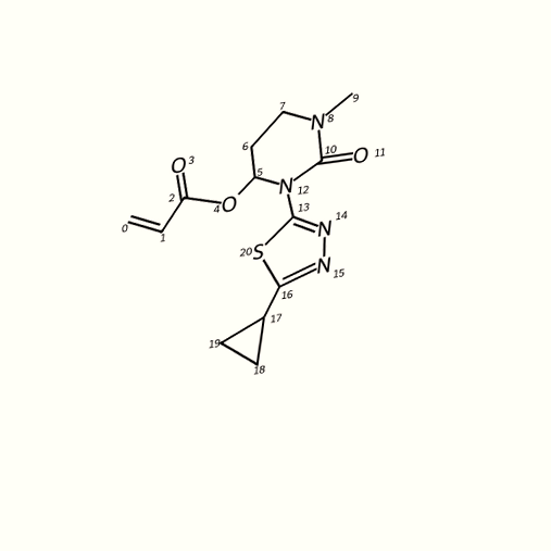 C=CC(=O)OC1CCN(C)C(=O)N1c1nnc(C2CC2)s1